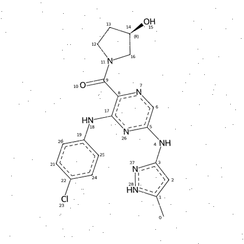 Cc1cc(Nc2cnc(C(=O)N3CC[C@@H](O)C3)c(Nc3ccc(Cl)cc3)n2)n[nH]1